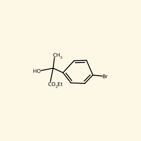 CCOC(=O)C(C)(O)c1ccc(Br)cc1